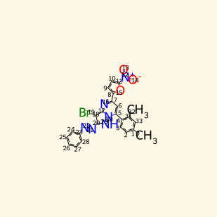 Cc1ccc(C2=CC(c3ccc([N+](=O)[O-])o3)=NC3C(Br)C(N=Nc4ccccc4)NN23)c(C)c1